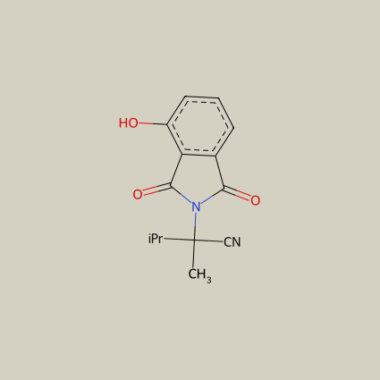 CC(C)C(C)(C#N)N1C(=O)c2cccc(O)c2C1=O